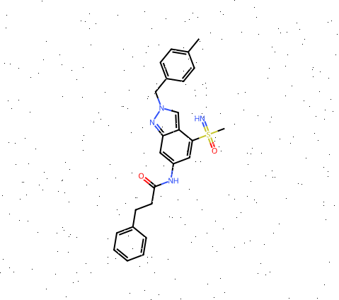 Cc1ccc(Cn2cc3c(S(C)(=N)=O)cc(NC(=O)CCc4ccccc4)cc3n2)cc1